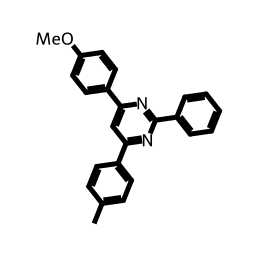 COc1ccc(-c2cc(-c3ccc(C)cc3)nc(-c3ccccc3)n2)cc1